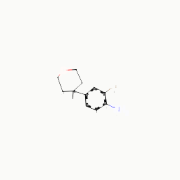 CC1(c2ccc(N)c(Br)c2)CCOCC1